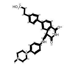 CN1CCN(c2ccc(N/C=C3\C(=O)NC(=O)c4ccc(-c5ccc(CCC(=O)O)cc5)cc43)cc2)CC1